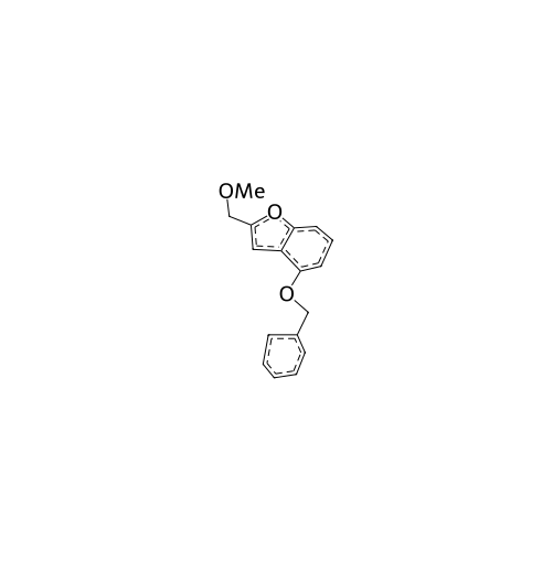 COCc1cc2c(OCc3ccccc3)cccc2o1